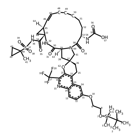 CC(C)(C)[Si](C)(C)OCCOc1ccc2nc(C(F)(F)F)c3c(c2c1)CC[C@]1(C[C@H]2C(=O)N[C@]4(C(=O)NS(=O)(=O)C5(C)CC5)C[C@H]4/C=C\CCCCC[C@H](NC(=O)O)C(=O)N2C1)O3